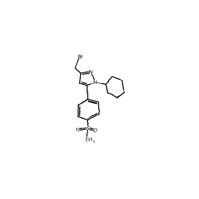 CS(=O)(=O)c1ccc(-c2cc(CBr)nn2C2CCCCC2)cc1